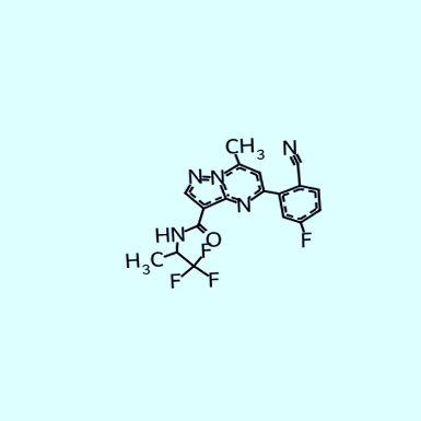 Cc1cc(-c2cc(F)ccc2C#N)nc2c(C(=O)NC(C)C(F)(F)F)cnn12